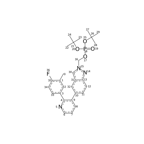 Cc1cc(-c2ncccc2-c2ccc3nn(COP(=O)(OC(C)(C)C)OC(C)(C)C)cc3c2)ccc1F